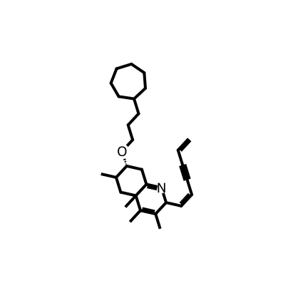 C=CC#C/C=C\C1N=C2C[C@@H](OCCCC3CCCCCC3)C(C)CC2(C)C(C)=C1C